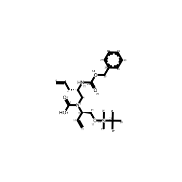 C=CC[C@@H](CN(C(=O)O)[C@H](C=C)CO[Si](C)(C)C(C)(C)C)NC(=O)OCc1ccccc1